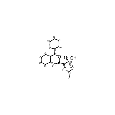 CC(C)OC(C(=O)OC(C1CCCCC1)C1CCCCC1)S(=O)(=O)O